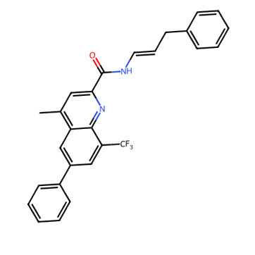 Cc1cc(C(=O)N/C=C/Cc2ccccc2)nc2c(C(F)(F)F)cc(-c3ccccc3)cc12